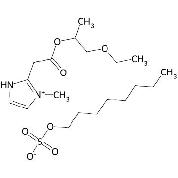 CCCCCCCCOS(=O)(=O)[O-].CCOCC(C)OC(=O)Cc1[nH]cc[n+]1C